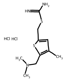 Cc1cc(CSC(=N)N)sc1CN(C)C.Cl.Cl